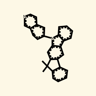 CC1(C)c2ccccc2-c2cc3c4ccccc4n(-c4ccc5cnccc5c4)c3cc21